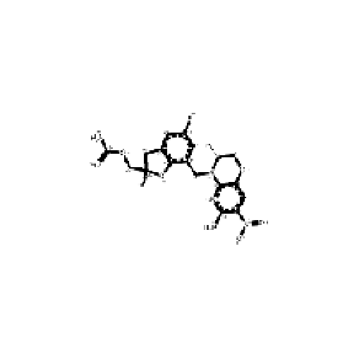 C[C@@H]1COc2cc([N+](=O)[O-])c(N)nc2N1Cc1cc(F)cc2c1OC(C)(COC(N)=O)C2